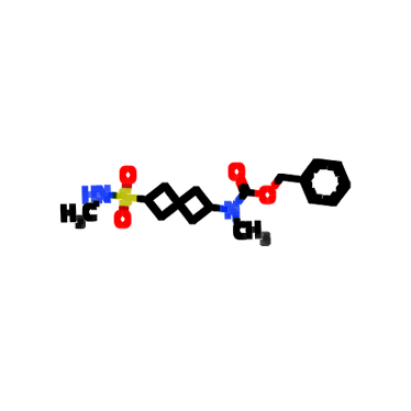 CNS(=O)(=O)C1CC2(CC(N(C)C(=O)OCc3ccccc3)C2)C1